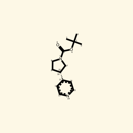 CC(C)(C)OC(=O)N1CC[C@@H](c2ccncc2)C1